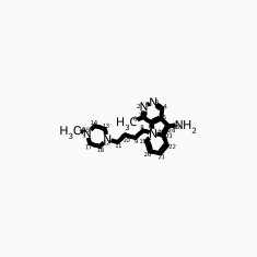 Cc1nncc2c1[N+]1(CCCCN3CCN(C)CC3)C=CC=CC1=C2N